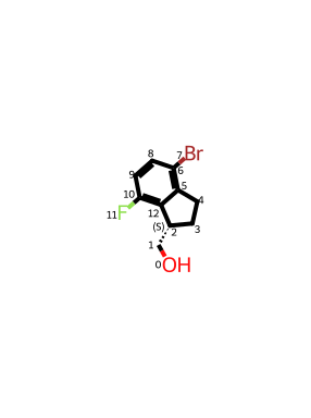 OC[C@H]1CCc2c(Br)ccc(F)c21